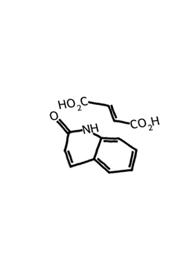 O=C(O)C=CC(=O)O.O=c1ccc2ccccc2[nH]1